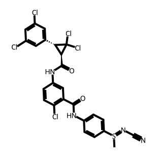 CS(=NC#N)c1ccc(NC(=O)c2cc(NC(=O)[C@H]3[C@H](c4cc(Cl)cc(Cl)c4)C3(Cl)Cl)ccc2Cl)cc1